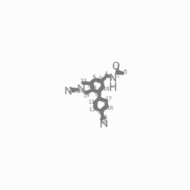 CC(=O)NCc1cc2c(c(-c3ccc(C#N)cc3)c1)CN(C#N)C2